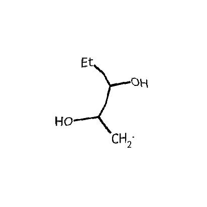 [CH2]C(O)C(O)CC